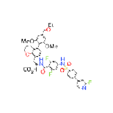 CCOCc1cc(OC)c(-c2ccc(C[C@H](NC(=O)c3c(F)cc(NS(=O)(=O)c4ccc(-c5ccnc(F)c5)cc4)cc3F)C(=O)O)c3c2CCCO3)c(OC)c1